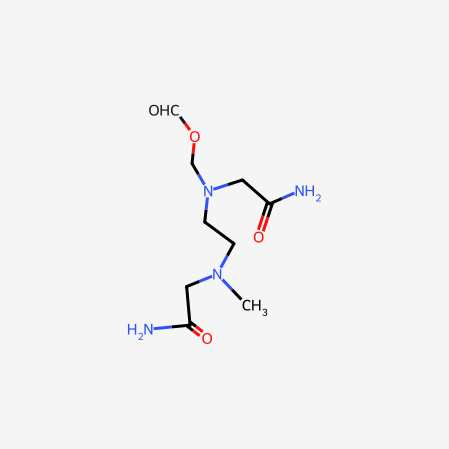 CN(CCN(COC=O)CC(N)=O)CC(N)=O